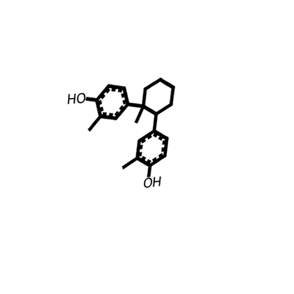 Cc1cc(C2CCCCC2(C)c2ccc(O)c(C)c2)ccc1O